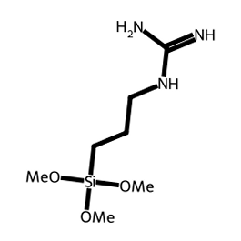 CO[Si](CCCNC(=N)N)(OC)OC